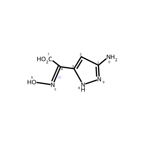 Nc1cc(/C(=N/O)C(=O)O)[nH]n1